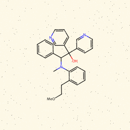 COCCc1ccccc1N(C)C(c1ccccc1)C(O)(c1cccnc1)c1cccnc1